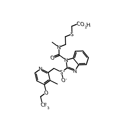 Cc1c(OCC(F)(F)F)ccnc1C[S+]([O-])c1nc2ccccc2n1C(=O)N(C)CCSCC(=O)O